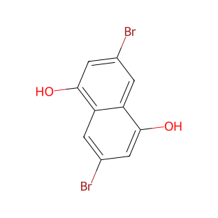 Oc1cc(Br)cc2c(O)cc(Br)cc12